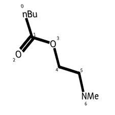 CCCCC(=O)OCCNC